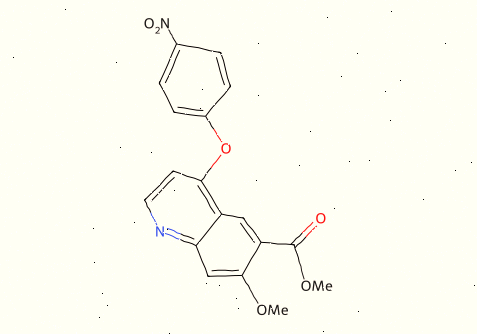 COC(=O)c1cc2c(Oc3ccc([N+](=O)[O-])cc3)ccnc2cc1OC